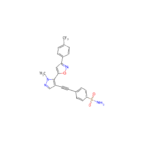 Cn1ncc(C#Cc2ccc(S(N)(=O)=O)cc2)c1-c1cc(-c2ccc(C(F)(F)F)cc2)no1